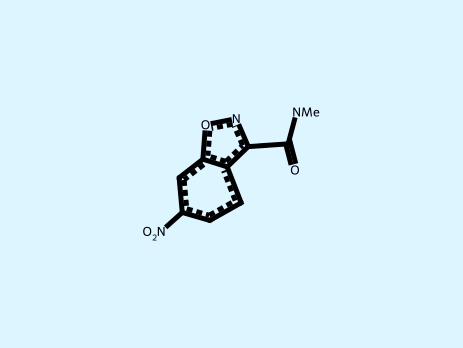 CNC(=O)c1noc2cc([N+](=O)[O-])ccc12